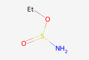 CCOS(N)=O